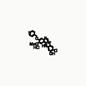 COc1cc2c(Nc3cc(O)c(Cl)cc3F)ncnc2cc1OCc1ccncc1.Cl